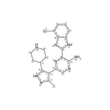 CCc1cccc2[nH]c(-c3nc(-c4c(C)n[nH]c4C4CCNCC4)cnc3N)nc12